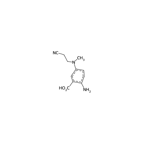 CN(CCC#N)c1ccc(N)c(C(=O)O)c1